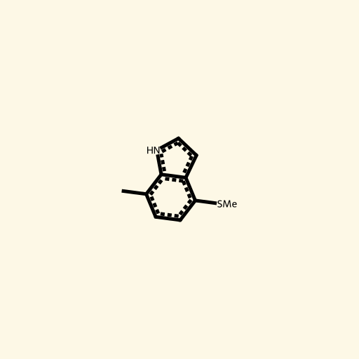 CSc1ccc(C)c2[nH]ccc12